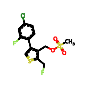 CS(=O)(=O)OCc1c(-c2ccc(Cl)cc2F)csc1CF